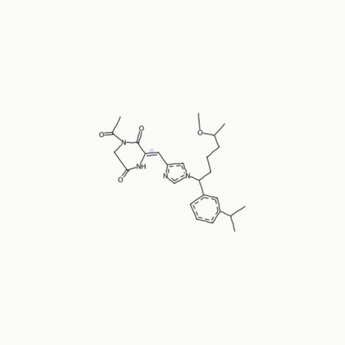 COC(C)CCCC(c1cccc(C(C)C)c1)n1cnc(/C=C2\NC(=O)CN(C(C)=O)C2=O)c1